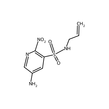 C=CCNS(=O)(=O)c1cc(N)cnc1[N+](=O)[O-]